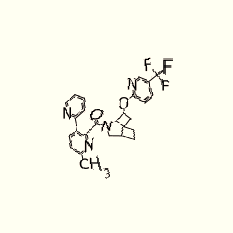 Cc1ccc(-c2ccccn2)c(C(=O)N2CC3CCC34CC(Oc3ccc(C(F)(F)F)cn3)C24)n1